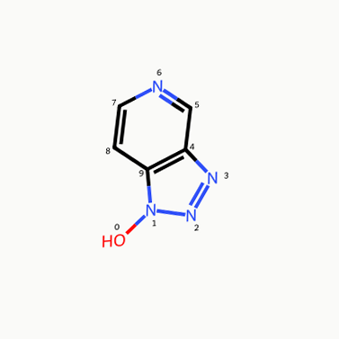 On1nnc2cnccc21